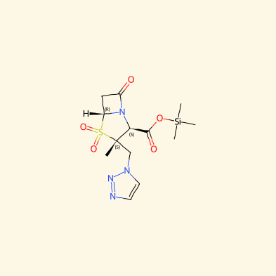 C[C@]1(Cn2ccnn2)[C@H](C(=O)O[Si](C)(C)C)N2C(=O)C[C@H]2S1(=O)=O